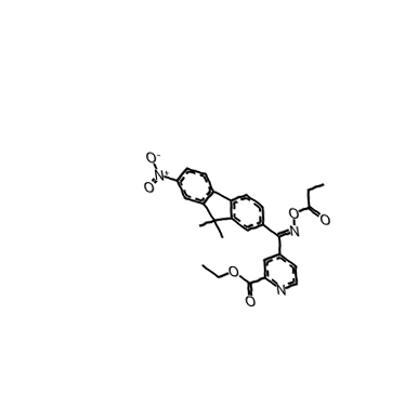 CCOC(=O)c1cc(/C(=N/OC(=O)CC)c2ccc3c(c2)C(C)(C)c2cc([N+](=O)[O-])ccc2-3)ccn1